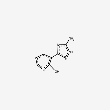 Nc1nc(-c2cccnc2O)n[nH]1